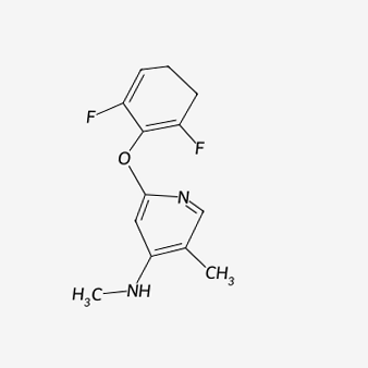 CNc1cc(OC2=C(F)CCC=C2F)ncc1C